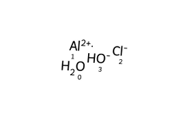 O.[Al+2].[Cl-].[OH-]